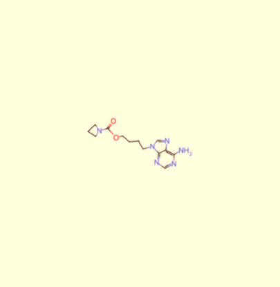 Nc1ncnc2c1ncn2CCCCOC(=O)N1CCC1